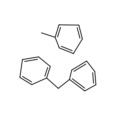 Cc1ccccc1.c1ccc(Cc2ccccc2)cc1